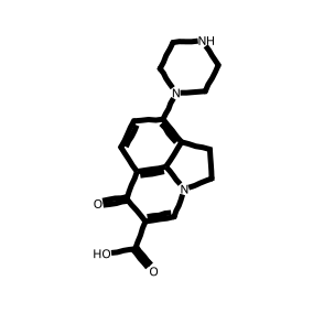 O=C(O)c1cn2c3c(c(N4CCNCC4)ccc3c1=O)CC2